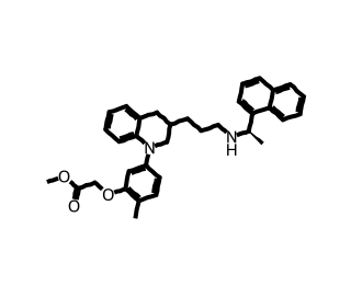 COC(=O)COc1cc(N2CC(CCCN[C@H](C)c3cccc4ccccc34)Cc3ccccc32)ccc1C